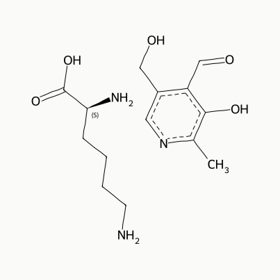 Cc1ncc(CO)c(C=O)c1O.NCCCC[C@H](N)C(=O)O